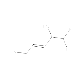 NCC=CC(N)C(F)F